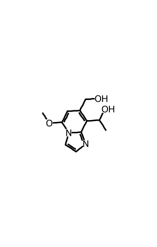 COc1cc(CO)c(C(C)O)c2nccn12